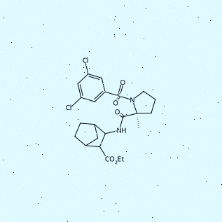 CCOC(=O)C1C2CCC(C2)C1NC(=O)[C@]1(C)CCCN1S(=O)(=O)c1cc(Cl)cc(Cl)c1